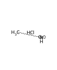 CCCCCCCCCCCCCCCCCCONc1ccccc1.Cl